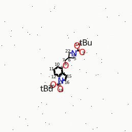 CC(C)(C)OC(=O)N1CC(COc2cccc3c2ccn3C(=O)OC(C)(C)C)C1